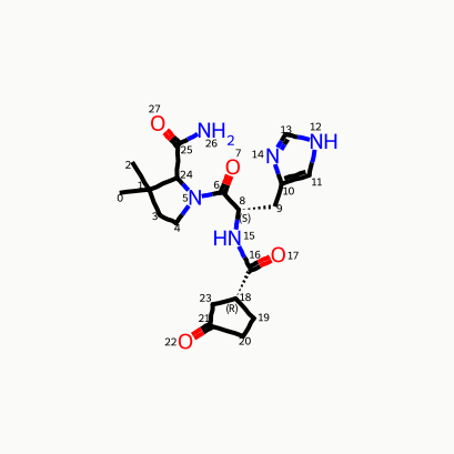 CC1(C)CCN(C(=O)[C@H](Cc2c[nH]cn2)NC(=O)[C@@H]2CCC(=O)C2)C1C(N)=O